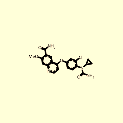 COc1cc2nccc(Oc3ccc(N(C(N)=O)C4CC4)c(Cl)c3)c2cc1C(N)=O